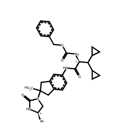 CC(C)[C@@H]1CN(C2(C(=O)O)Cc3ccc(NC(=O)[C@@H](NC(=O)OCc4ccccc4)C(C4CC4)C4CC4)cc3C2)C(=O)N1